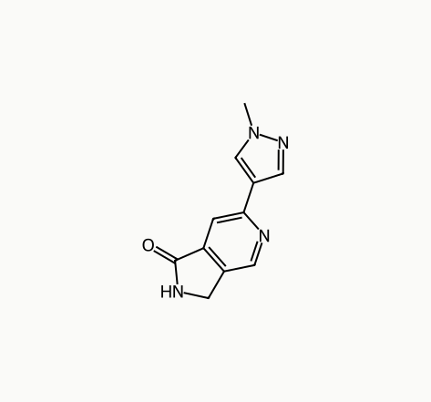 Cn1cc(-c2cc3c(cn2)CNC3=O)cn1